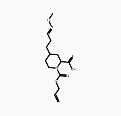 C=CCOC(=O)N1CCC(CC/C=N/OC)CC1C(=O)O